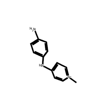 C[n+]1ccc(Nc2ccc(N)cc2)cc1